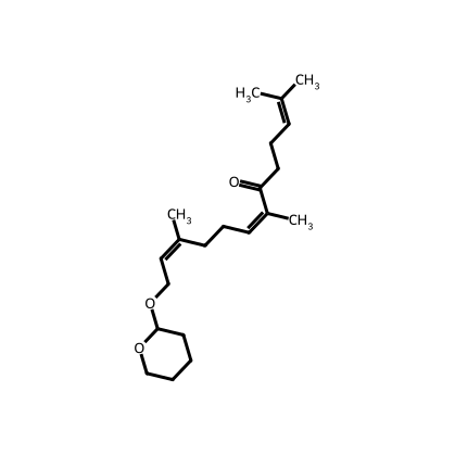 CC(C)=CCCC(=O)C(C)=CCCC(C)=CCOC1CCCCO1